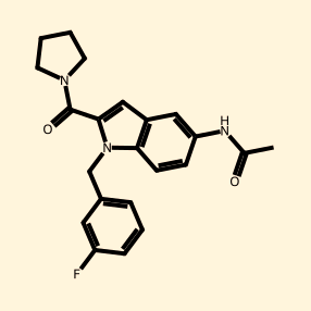 CC(=O)Nc1ccc2c(c1)cc(C(=O)N1CCCC1)n2Cc1cccc(F)c1